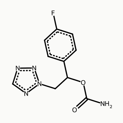 NC(=O)OC(Cn1ncnn1)c1ccc(F)cc1